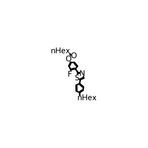 CCCCCCC(=O)Oc1ccc(-c2ncc(-c3ccc(CCCCCC)cc3)s2)c(F)c1